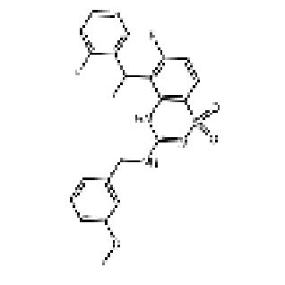 COc1cccc(CNC2=NS(=O)(=O)c3ccc(F)c(C(C)c4ccccc4F)c3N2)c1